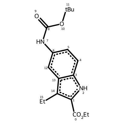 CCOC(=O)c1[nH]c2ccc(NC(=O)OC(C)(C)C)cc2c1CC